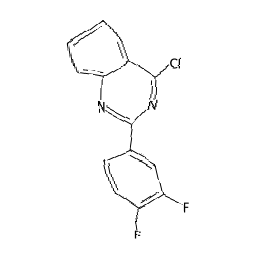 Fc1ccc(-c2nc(Cl)c3ccccc3n2)cc1F